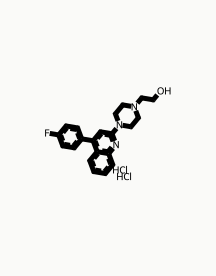 Cl.Cl.OCCN1CCN(c2cc(-c3ccc(F)cc3)c3ccccc3n2)CC1